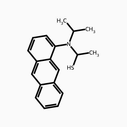 CC(C)N(c1cccc2cc3ccccc3cc12)C(C)S